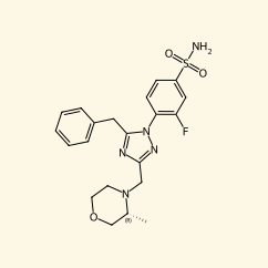 C[C@@H]1COCCN1Cc1nc(Cc2ccccc2)n(-c2ccc(S(N)(=O)=O)cc2F)n1